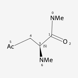 CNC(=O)[C@H](CC(C)=O)NC